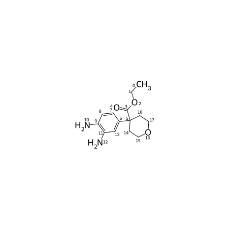 CCOC(=O)C1(c2ccc(N)c(N)c2)CCOCC1